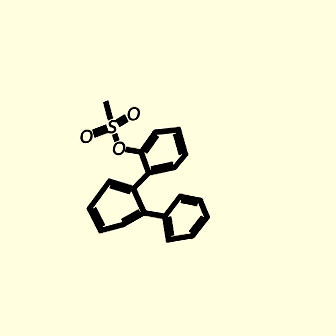 CS(=O)(=O)Oc1ccccc1-c1ccccc1-c1ccccc1